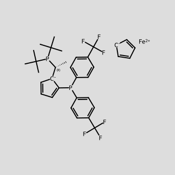 C[C@H]([c-]1cccc1P(c1ccc(C(F)(F)F)cc1)c1ccc(C(F)(F)F)cc1)P(C(C)(C)C)C(C)(C)C.[Fe+2].c1cc[cH-]c1